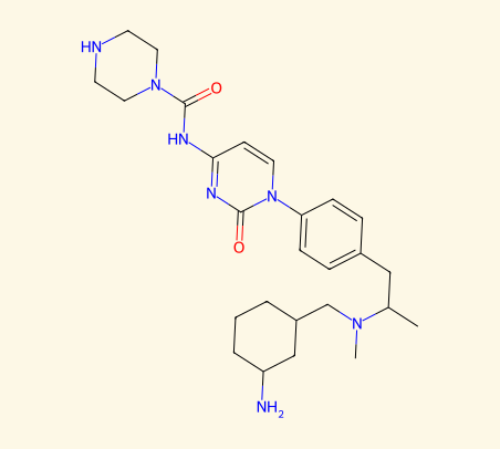 CC(Cc1ccc(-n2ccc(NC(=O)N3CCNCC3)nc2=O)cc1)N(C)CC1CCCC(N)C1